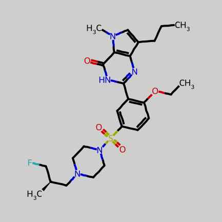 CCCc1cn(C)c2c(=O)[nH]c(-c3cc(S(=O)(=O)N4CCN(C[C@@H](C)CF)CC4)ccc3OCC)nc12